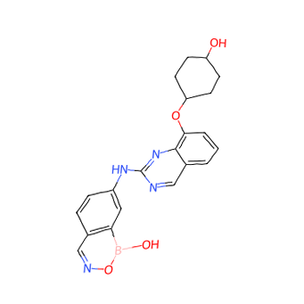 OB1ON=Cc2ccc(Nc3ncc4cccc(OC5CCC(O)CC5)c4n3)cc21